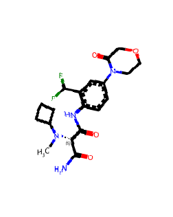 CN(C1CCC1)[C@@H](C(N)=O)C(=O)Nc1ccc(N2CCOCC2=O)cc1C(F)F